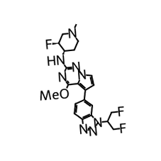 COc1nc(N[C@@H]2CCN(C)C[C@@H]2F)nn2ccc(-c3ccc4nnn(C(CF)CF)c4c3)c12